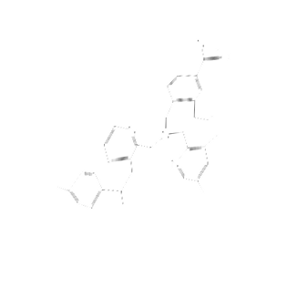 Cc1cnc(CN(Cc2ccc(C(N)=O)cc2CO)Cc2ncccc2CC(C)c2ccc(F)cc2)c(C)c1